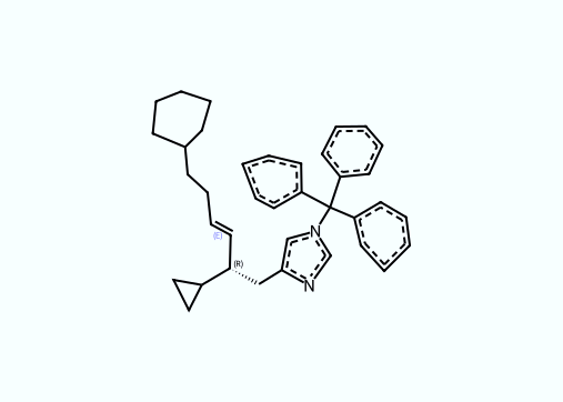 C(=C\[C@H](Cc1cn(C(c2ccccc2)(c2ccccc2)c2ccccc2)cn1)C1CC1)/CCC1CCCCC1